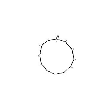 C1CCCCCNCCCCC1